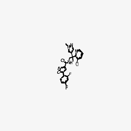 Cn1cc(C(C)(CNC(=O)c2cc(-c3ccc(F)cc3F)on2)c2ncccc2Cl)cn1